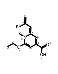 C=C(Br)/C=C1/N=C(C(=O)O)C=C(OCC)N1C